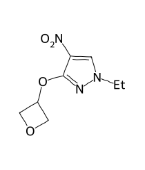 CCn1cc([N+](=O)[O-])c(OC2COC2)n1